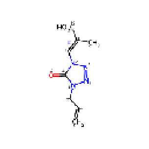 C=CCn1nnn(/C=C(\C)C(=O)O)c1=O